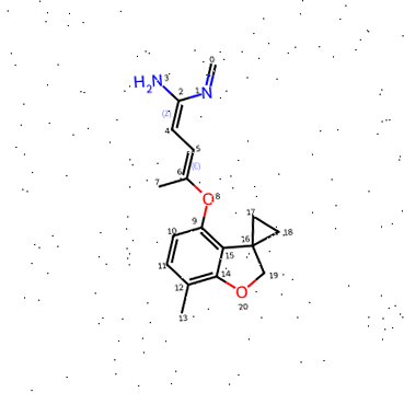 C=N/C(N)=C\C=C(/C)Oc1ccc(C)c2c1C1(CC1)CO2